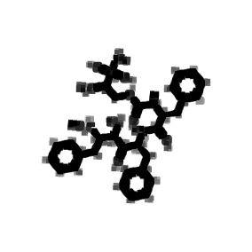 C=C(COC(=O)N[C@@H](Cc1ccccc1)C(=O)N[C@@H](Cc1ccccc1)C(=O)N([C@@H](Cc1ccccc1)C(=O)O)C(C)(C)C)S(=O)(=O)C(C)(C)C